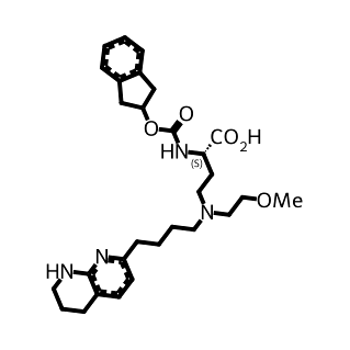 COCCN(CCCCc1ccc2c(n1)NCCC2)CC[C@H](NC(=O)OC1Cc2ccccc2C1)C(=O)O